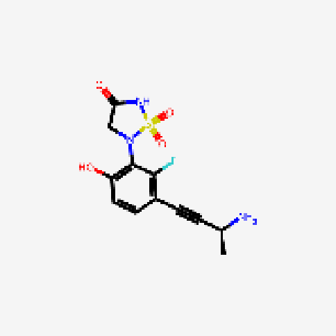 C[C@H](N)C#Cc1ccc(O)c(N2CC(=O)NS2(=O)=O)c1F